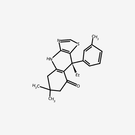 CC[C@@]1(c2cccc(C)c2)C2=C(CC(C)(C)CC2=O)Nc2ncsc21